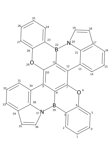 c1ccc2c(c1)Oc1c3c(c4c5c1-c1cccc6ccn(c16)B5c1ccccc1O4)-c1cccc4ccn(c14)B23